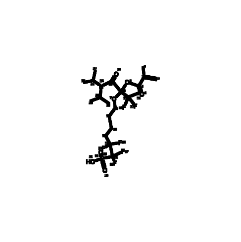 C=C(C)C(=O)OC(OCCCCC(F)(F)C(F)(F)S(=O)(=O)O)(C(=O)N(C(C)C)C(C)C)C(F)(F)F